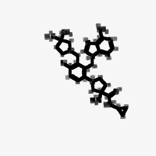 CC1(C)CCN(Cc2c(F)ccc(N3CC[C@](N)(C(=O)NC4CC4)C3)c2Cn2cnc3c(N)ncnc32)C1